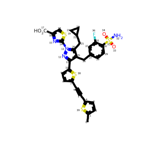 Cc1ccc(C#Cc2ccc(-c3nn(-c4nc(C(=O)O)cs4)c(CC4CC4)c3Cc3ccc(S(N)(=O)=O)c(F)c3)s2)s1